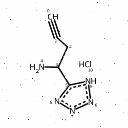 C#CCC(N)c1nnn[nH]1.Cl